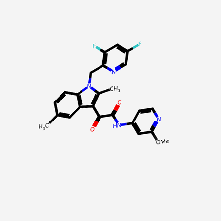 COc1cc(NC(=O)C(=O)c2c(C)n(Cc3ncc(F)cc3F)c3ccc(C)cc23)ccn1